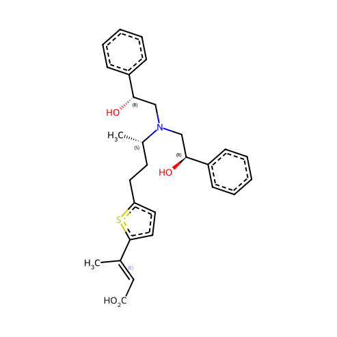 C/C(=C\C(=O)O)c1ccc(CC[C@H](C)N(C[C@H](O)c2ccccc2)C[C@H](O)c2ccccc2)s1